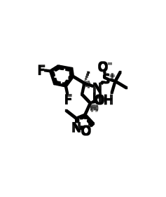 Cc1nocc1[C@H](O)C[C@](C)(N[S+]([O-])C(C)(C)C)c1ccc(F)cc1F